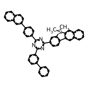 C[Si]1(C)c2cc(-c3nc(-c4ccc(-c5ccc6ccccc6c5)cc4)nc(-c4cccc(-c5ccccc5)c4)n3)ccc2-c2cc3ccccc3cc21